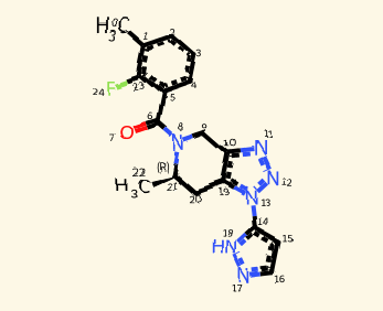 Cc1cccc(C(=O)N2Cc3nnn(-c4ccn[nH]4)c3C[C@H]2C)c1F